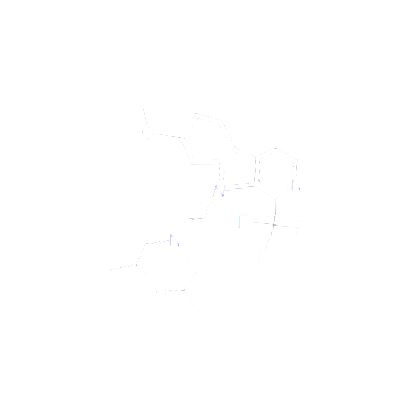 COc1ccc2c3ccnc(C(F)(F)F)c3n(CCN3CC(C)OC(C)C3)c2c1